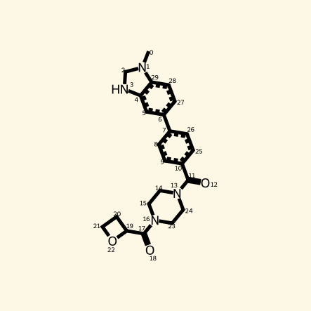 CN1CNc2cc(-c3ccc(C(=O)N4CCN(C(=O)C5CCO5)CC4)cc3)ccc21